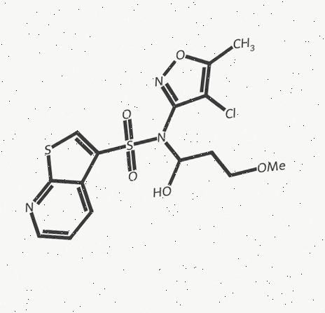 COCCC(O)N(c1noc(C)c1Cl)S(=O)(=O)c1csc2ncccc12